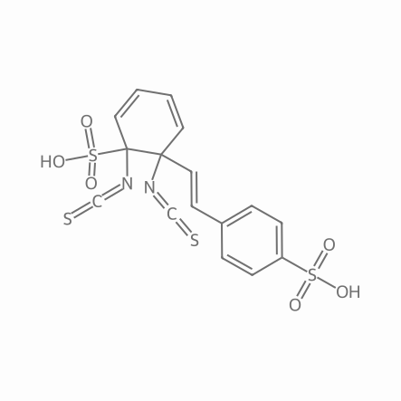 O=S(=O)(O)c1ccc(C=CC2(N=C=S)C=CC=CC2(N=C=S)S(=O)(=O)O)cc1